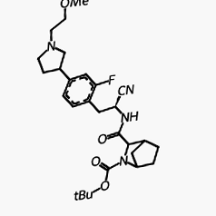 COCCN1CCC(c2ccc(C[C@@H](C#N)NC(=O)C3C4CCC(C4)N3C(=O)OC(C)(C)C)c(F)c2)C1